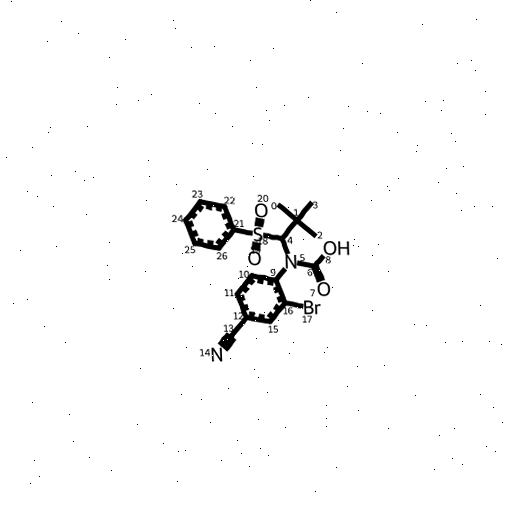 CC(C)(C)C(N(C(=O)O)c1ccc(C#N)cc1Br)S(=O)(=O)c1ccccc1